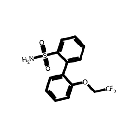 NS(=O)(=O)c1ccccc1-c1ccccc1OCC(F)(F)F